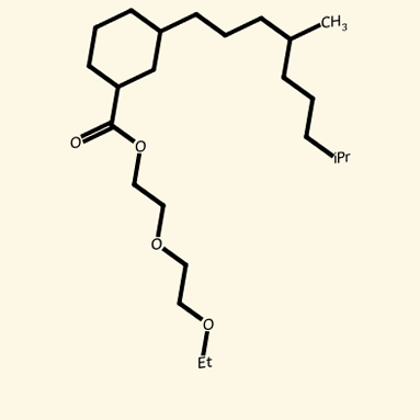 CCOCCOCCOC(=O)C1CCCC(CCCC(C)CCCC(C)C)C1